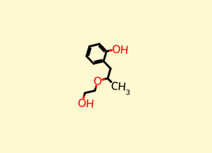 CC(Cc1ccccc1O)OCCO